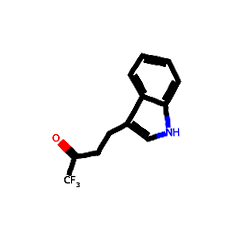 O=C(CCc1c[nH]c2ccccc12)C(F)(F)F